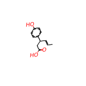 CC=CC(CC(=O)O)c1ccc(O)cc1